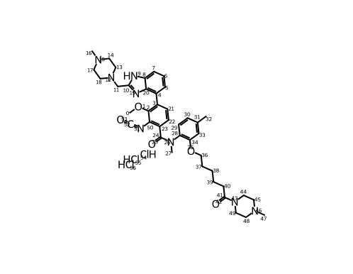 COc1c(-c2cccc3[nH]c(CN4CCN(C)CC4)nc23)ccc(C(=O)N(C)c2ccc(C)cc2OCCCCCC(=O)N2CCN(C)CC2)c1N=C=O.Cl.Cl.Cl